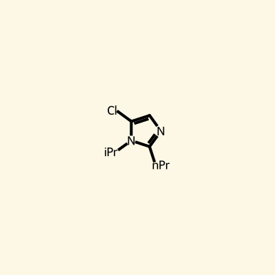 CCCc1ncc(Cl)n1C(C)C